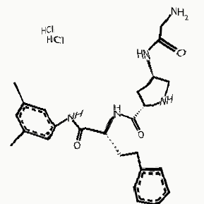 Cc1cc(C)cc(NC(=O)[C@@H](CCc2ccccc2)NC(=O)[C@@H]2C[C@@H](NC(=O)CN)CN2)c1.Cl.Cl